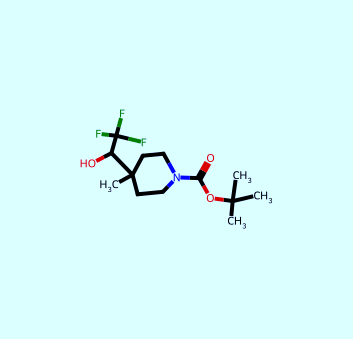 CC(C)(C)OC(=O)N1CCC(C)(C(O)C(F)(F)F)CC1